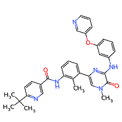 Cc1c(NC(=O)c2ccc(C(C)(C)C)nc2)cccc1-c1cn(C)c(=O)c(Nc2cccc(Oc3cccnc3)c2)n1